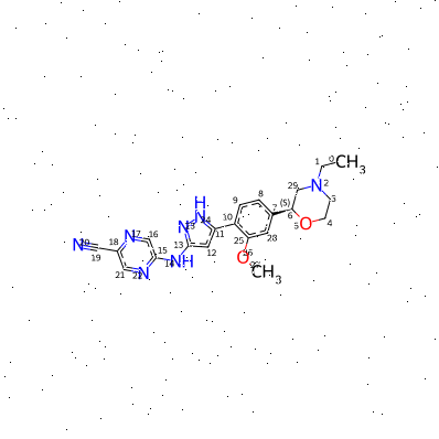 CCN1CCO[C@@H](c2ccc(-c3cc(Nc4cnc(C#N)cn4)n[nH]3)c(OC)c2)C1